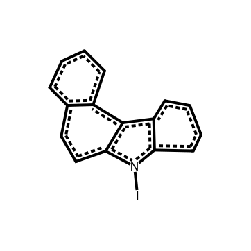 In1c2ccccc2c2c3ccccc3ccc21